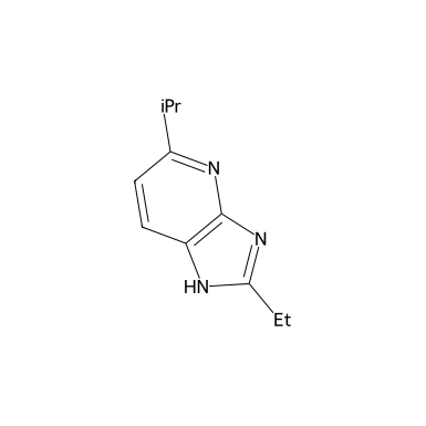 CCc1nc2nc(C(C)C)ccc2[nH]1